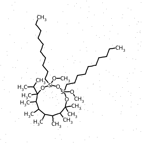 CCCCCCCCCC[Si]1(OC)OC(C)(C)C(C)C(C)C(C)C(C)C(C)C(C)(C(C)C)O[Si](CCCCCCCCCC)(OC)O1